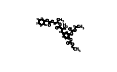 CCOC(=O)Oc1ccc(C[C@H](N)C(=O)O[C@@H](C)COC(=O)OC2CCCCC2)cc1OC(=O)OCC